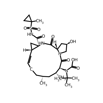 C[C@@H]1CC/C=C\[C@@H]2C[C@@]2(C(=O)NS(=O)(=O)C2(C)CC2)NC(=O)[C@@H]2C[C@@H](O)CN2C(=O)[C@@H](N(C(=O)O)C(C)(C)C)[C@H](C)C1